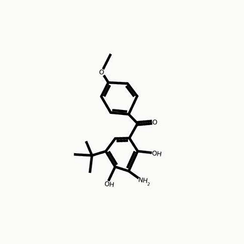 COc1ccc(C(=O)c2cc(C(C)(C)C)c(O)c(N)c2O)cc1